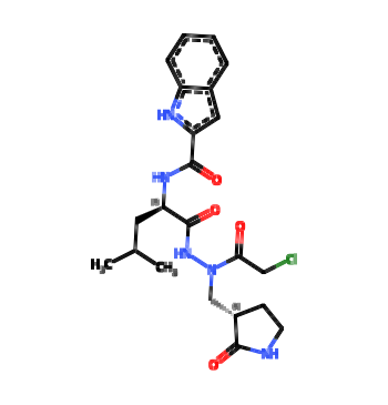 CC(C)C[C@@H](NC(=O)c1cc2ccccc2[nH]1)C(=O)NN(C[C@@H]1CCNC1=O)C(=O)CCl